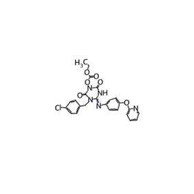 CCOC(=O)On1c(=O)[nH]/c(=N\c2ccc(Oc3ccccn3)cc2)n(Cc2ccc(Cl)cc2)c1=O